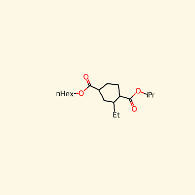 CCCCCCOC(=O)C1CCC(C(=O)OC(C)C)C(CC)C1